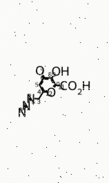 [N-]=[N+]=NCc1cc(=O)c(O)c(C(=O)O)o1